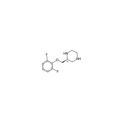 Fc1cccc(F)c1OC[C@@H]1CNCCN1